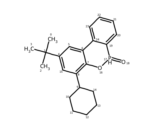 CC(C)(C)c1cc2c(c(C3CCCCC3)c1)O[PH](=O)c1ccccc1-2